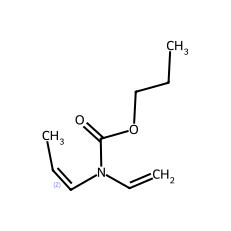 C=CN(/C=C\C)C(=O)OCCC